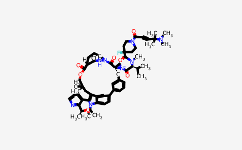 C=C1NN2CCC[C@H]1C(=O)OCC(C)(C)Cc1c(-c3cccnc3[C@H](C)OC)n(CC)c3ccc(cc13)-c1cccc(c1)C[C@@]1(C=[N+]1C(=O)[C@H](C(C)C)N(C)C(=O)C1(F)CCN(C(=O)C#CC(C)(C)N(C)C)CC1)C2=O